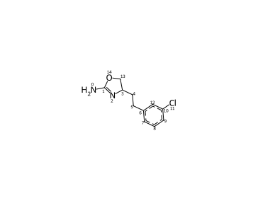 NC1=NC(CCc2cccc(Cl)c2)CO1